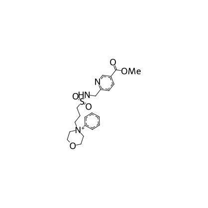 COC(=O)c1ccc(CNS(=O)(=O)CCC[N+]2(c3ccccc3)CCOCC2)nc1